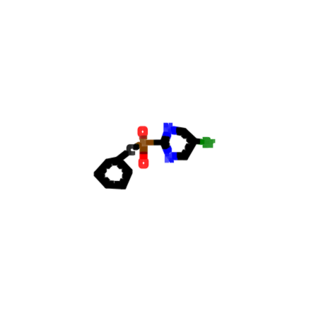 O=S(=O)(Cc1ccccc1)c1ncc(Br)cn1